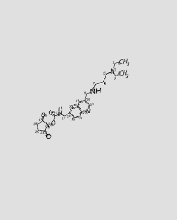 CCN(CC)CCCNCc1cnc2ccc(CNC(=O)ON3C(=O)CCC3=O)cc2c1